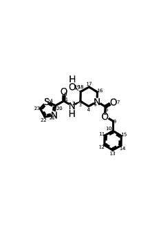 O=C(N[C@@H]1CN(C(=O)OCc2ccccc2)CC[C@H]1O)c1nccs1